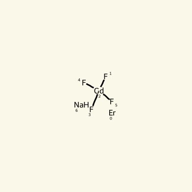 [Er].[F][Gd]([F])([F])[F].[NaH]